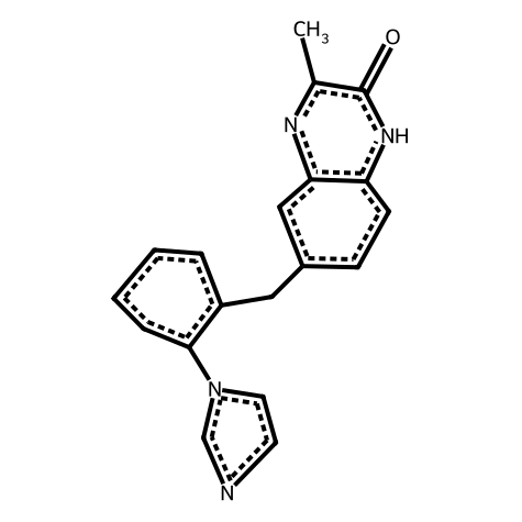 Cc1nc2cc(Cc3ccccc3-n3ccnc3)ccc2[nH]c1=O